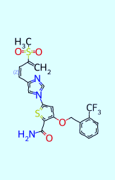 C=C(/C=C\c1cn(-c2cc(OCc3ccccc3C(F)(F)F)c(C(N)=O)s2)cn1)S(C)(=O)=O